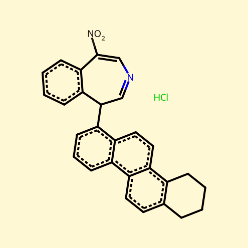 Cl.O=[N+]([O-])C1=CN=CC(c2cccc3c2ccc2c4c(ccc23)CCCC4)c2ccccc21